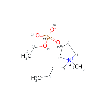 CCCC[N+]1(C)CCCC1.CCOS(=O)(=O)[O-]